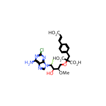 CO[C@H](COC(Cc1ccc(/C=C/C(=O)O)cc1)(C(=O)O)C(=O)O)[C@@H](O)[C@H](F)n1cnc2c(N)nc(Cl)nc21